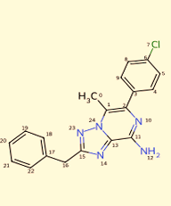 Cc1c(-c2ccc(Cl)cc2)nc(N)c2nc(Cc3ccccc3)nn12